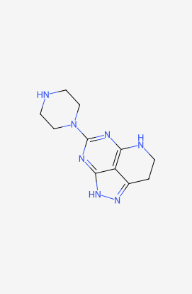 C1CN(c2nc3c4c(n[nH]c4n2)CCN3)CCN1